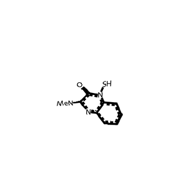 CNc1nc2ccccc2n(S)c1=O